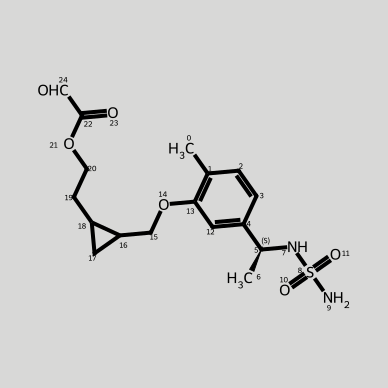 Cc1ccc([C@H](C)NS(N)(=O)=O)cc1OCC1CC1CCOC(=O)C=O